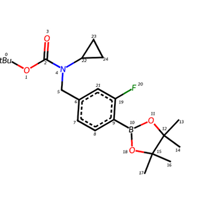 CC(C)(C)OC(=O)N(Cc1ccc(B2OC(C)(C)C(C)(C)O2)c(F)c1)C1CC1